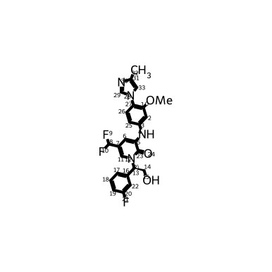 COc1cc(Nc2cc(C(F)F)cn([C@@H](CO)c3cccc(F)c3)c2=O)ccc1-n1cnc(C)c1